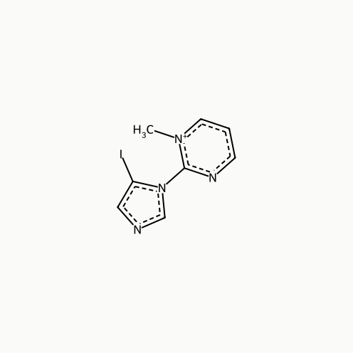 C[n+]1cccnc1-n1cncc1I